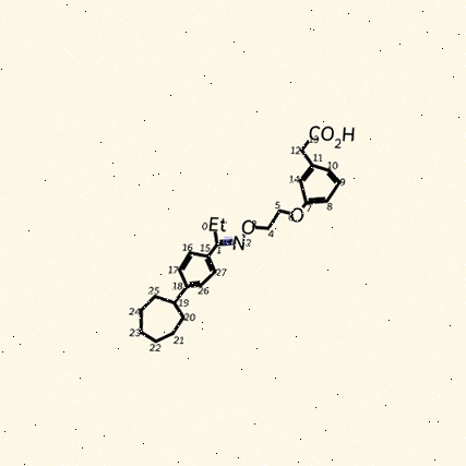 CC/C(=N\OCCOc1cccc(CC(=O)O)c1)c1ccc(C2CCCCCC2)cc1